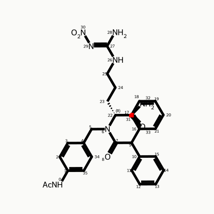 CC(=O)Nc1ccc(CN(C(=O)C(c2ccccc2)c2ccccc2)[C@H](CCCNC(N)=N[N+](=O)[O-])C(N)=O)cc1